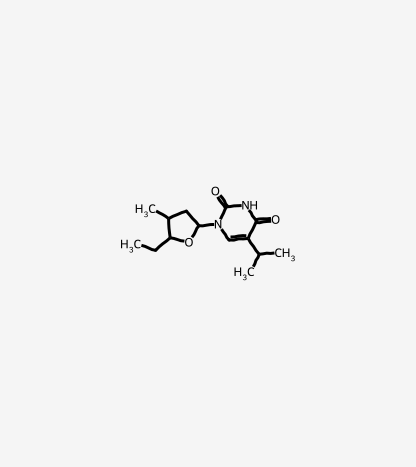 CCC1OC(n2cc(C(C)C)c(=O)[nH]c2=O)CC1C